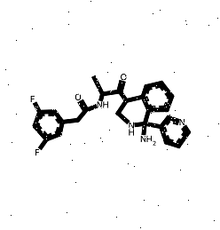 CC(NC(=O)Cc1cc(F)cc(F)c1)C(=O)C1CNC(N)(c2cccnc2)c2ccccc21